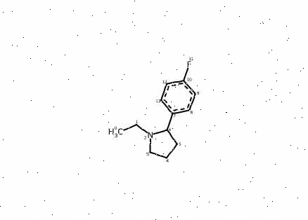 CCN1CCCC1c1ccc(F)cc1